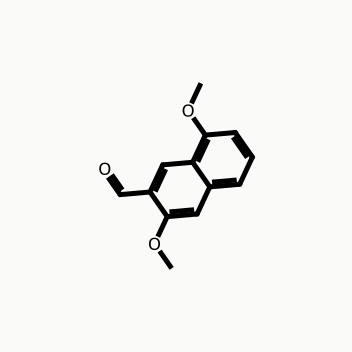 COc1cc2cccc(OC)c2cc1C=O